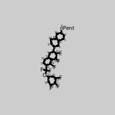 CCCCCc1ccc2cc(-c3cc4ccc(C(F)(F)Oc5cc(F)c(F)c(F)c5)c(F)c4c(F)c3F)ccc2c1